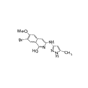 COc1cc2cc(Nc3cc(C)[nH]n3)nc(O)c2cc1Br